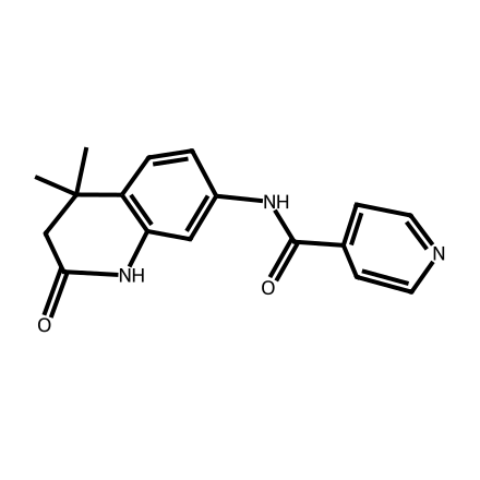 CC1(C)CC(=O)Nc2cc(NC(=O)c3ccncc3)ccc21